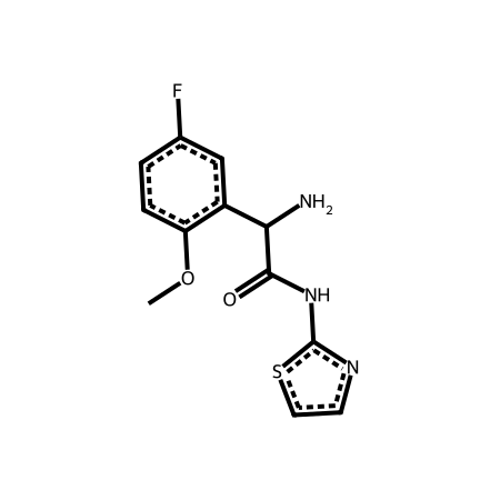 COc1ccc(F)cc1C(N)C(=O)Nc1nccs1